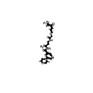 C=C(CCNC(=O)CO/C=C/C=C(/Cl)C(=C)F)NC(=O)c1cncc(N2CCOCC2)n1